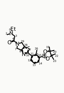 CCN(C)CC(=O)N1Cc2nc(-c3cccc(B4OC(C)(C)C(C)(C)O4)c3C)sc2C1